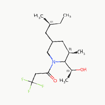 CC[C@H](C)CC1C[C@@H](C)C([C@H](C)O)N(C(=O)CC(F)(F)F)C1